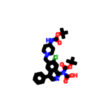 CC(C)(C)OC(=O)NC1CCN(Cc2cc3c(-c4ccccc4)cnc(N(C(=O)O)C(=O)OC(C)(C)C)c3cc2Cl)CC1